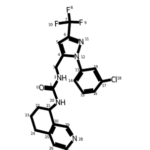 O=C(NCc1cc(C(F)(F)F)nn1-c1cccc(Cl)c1)NC1CCCc2ccncc21